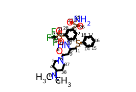 CN(C)C1CCN(C(=O)CC(CSc2ccccc2)Nc2ccc(S(N)(=O)=O)cc2S(=O)(=O)C(F)(F)F)CC1